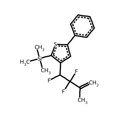 C=C(C)C(F)(F)C(F)c1cc(-c2ccccc2)sc1[Si](C)(C)C